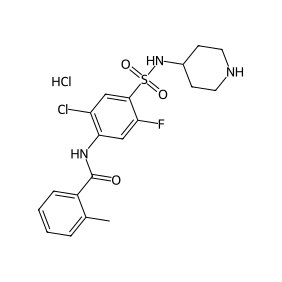 Cc1ccccc1C(=O)Nc1cc(F)c(S(=O)(=O)NC2CCNCC2)cc1Cl.Cl